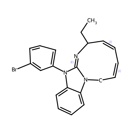 CCC1/C=C\C=C/CN2/C(=N\1)N(c1cccc(Br)c1)c1ccccc12